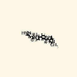 Cc1cc(-c2[nH]c3ccc(C4CCN(C(=O)C(N)Cc5c[nH]cn5)CC4)cc3c2C(C)C)ccn1